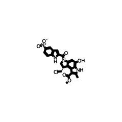 COC(=O)c1c(C)[nH]c2c(O)cc3c(c12)[C@H](CCl)CN3C(=O)c1cc2cc([N+](=O)[O-])ccc2[nH]1